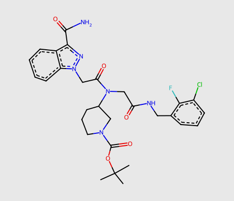 CC(C)(C)OC(=O)N1CCCC(N(CC(=O)NCc2cccc(Cl)c2F)C(=O)Cn2nc(C(N)=O)c3ccccc32)C1